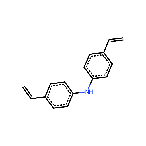 C=Cc1ccc(Nc2ccc(C=C)cc2)cc1